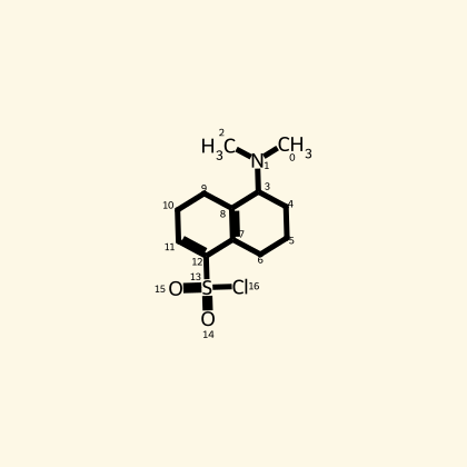 CN(C)C1CCCC2=C1CCC=C2S(=O)(=O)Cl